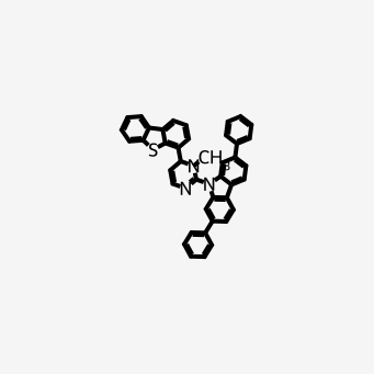 CN1C(n2c3cc(-c4ccccc4)ccc3c3ccc(-c4ccccc4)cc32)=NC=CC1c1cccc2c1sc1ccccc12